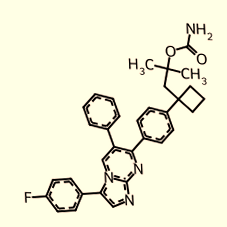 CC(C)(CC1(c2ccc(-c3nc4ncc(-c5ccc(F)cc5)n4cc3-c3ccccc3)cc2)CCC1)OC(N)=O